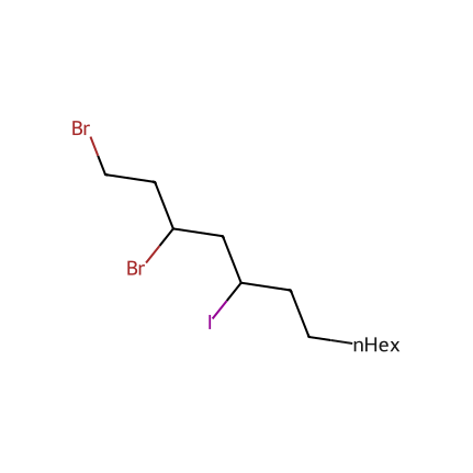 CCCCCCCCC(I)CC(Br)CCBr